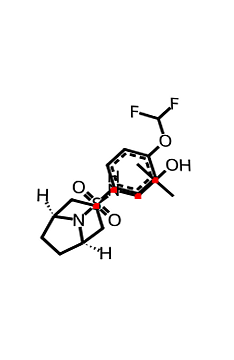 CC(C)(O)CN[C@H]1C[C@H]2CC[C@@H](C1)N2S(=O)(=O)c1ccc(OC(F)F)cc1